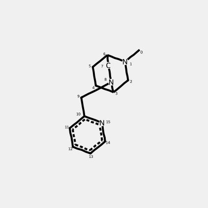 CN1CC2CCC1CN2Cc1ccccn1